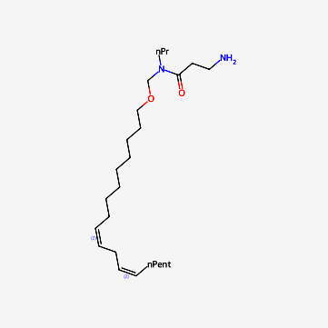 CCCCC/C=C\C/C=C\CCCCCCCCOCN(CCC)C(=O)CCN